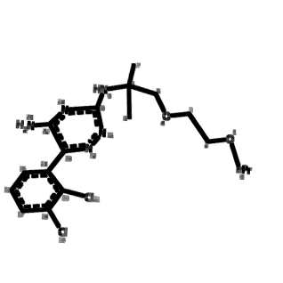 CCCOCCOCC(C)(C)Nc1nnc(-c2cccc(Cl)c2Cl)c(N)n1